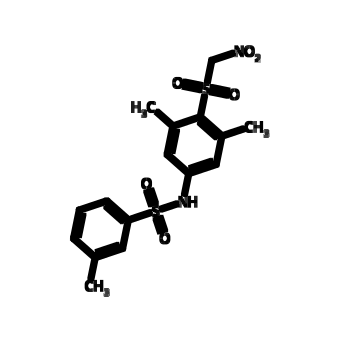 Cc1cccc(S(=O)(=O)Nc2cc(C)c(S(=O)(=O)C[N+](=O)[O-])c(C)c2)c1